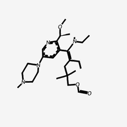 CC/C(CC(C)(C)COC=O)=C(/c1cc(N2CCN(C)CC2)cnc1[C@H](C)OC)N(C)CC